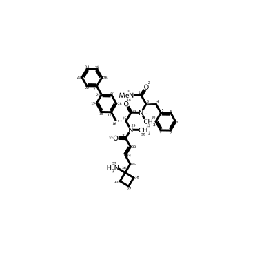 CNC(=O)[C@@H](Cc1ccccc1)N(C)C(=O)[C@@H](Cc1ccc(-c2ccccc2)cc1)N(C)C(=O)C=CCC1(N)CCC1